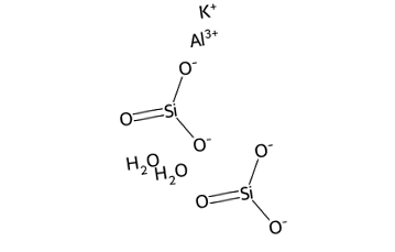 O.O.O=[Si]([O-])[O-].O=[Si]([O-])[O-].[Al+3].[K+]